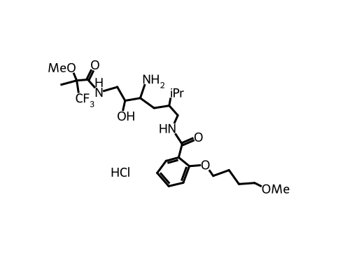 COCCCCOc1ccccc1C(=O)NCC(CC(N)C(O)CNC(=O)C(C)(OC)C(F)(F)F)C(C)C.Cl